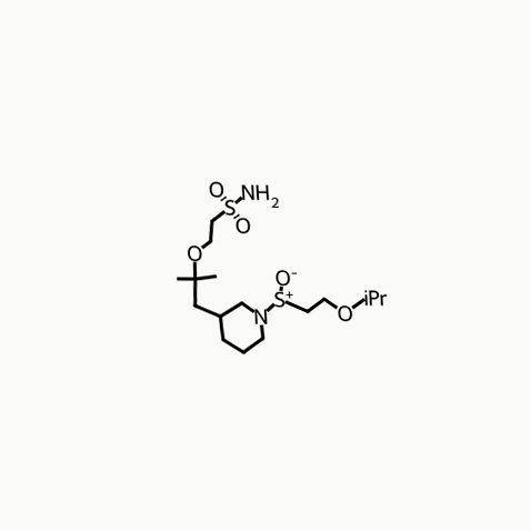 CC(C)OCC[S+]([O-])N1CCCC(CC(C)(C)OCCS(N)(=O)=O)C1